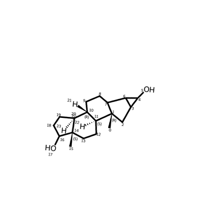 C[C@]12CC3C(O)C3C1CC[C@@H]1[C@@H]2CC[C@]2(C)C(O)CC[C@@H]12